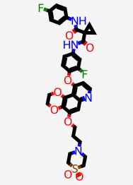 O=C(Nc1ccc(F)cc1)C1(C(=O)Nc2ccc(Oc3ccnc4cc(OCCCN5CCS(=O)(=O)CC5)c5c(c34)OCCO5)c(F)c2)CC1